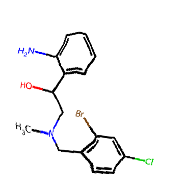 CN(Cc1ccc(Cl)cc1Br)CC(O)c1ccccc1N